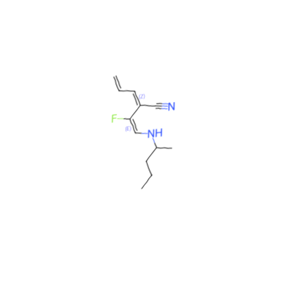 C=C/C=C(C#N)\C(F)=C/NC(C)CCC